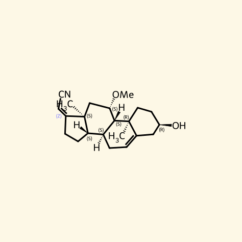 CO[C@H]1C[C@]2(C)/C(=C\C#N)CC[C@H]2[C@@H]2CC=C3C[C@H](O)CC[C@]3(C)[C@H]21